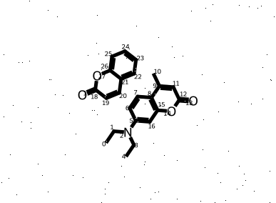 CCN(CC)c1ccc2c(C)cc(=O)oc2c1.O=c1ccc2ccccc2o1